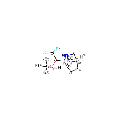 CC[Si](CC)(CC)OC(C(F)F)[C@H]1NC[C@H]2CC[C@@H]1N2C(=O)O